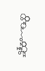 O=C1NCCc2ccc(OCCCCN3CCN(c4cccc5c4OCCC5)CC3)nc2N1